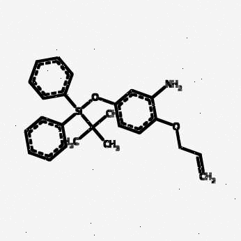 C=CCOc1ccc(O[Si](c2ccccc2)(c2ccccc2)C(C)(C)C)cc1N